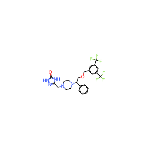 O=c1[nH]nc(CN2CCN(C(COCc3cc(C(F)(F)F)cc(C(F)(F)F)c3)c3ccccc3)CC2)[nH]1